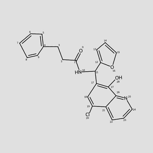 O=C(CCc1ccccc1)NC(c1ccco1)c1cc(Cl)c2cccnc2c1O